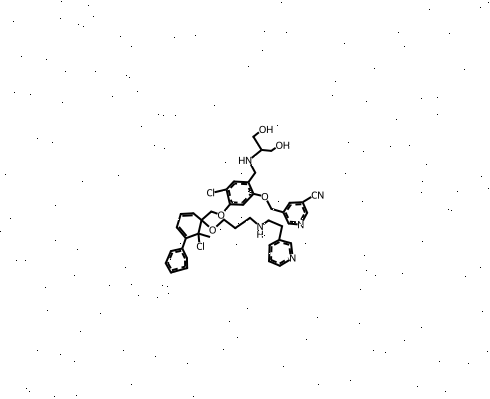 CC1(Cl)C(c2ccccc2)=CC=CC1(COc1cc(OCc2cncc(C#N)c2)c(CNC(CO)CO)cc1Cl)OCCCNCCc1cccnc1